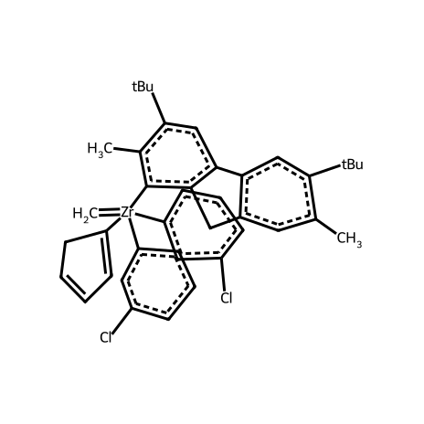 [CH2]=[Zr]([C]1=CC=CC1)([c]1cccc(Cl)c1)([c]1cccc(Cl)c1)[c]1c(C)c(C(C)(C)C)cc2c1Cc1cc(C)c(C(C)(C)C)cc1-2